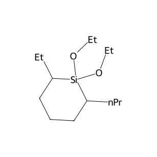 CCCC1CCCC(CC)[Si]1(OCC)OCC